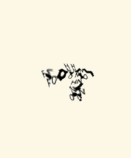 CCCCn1cc(NC(=O)Nc2ccc(OC(F)(F)F)cc2)nc1C(=O)NCc1nn(C)c(=O)n1C